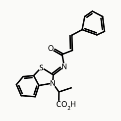 CC(C(=O)O)n1/c(=N/C(=O)/C=C/c2ccccc2)sc2ccccc21